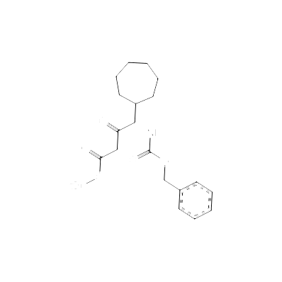 CC(C)(C)OC(=O)CC(=O)[C@@H](NC(=O)OCc1ccccc1)C1CCCCCC1